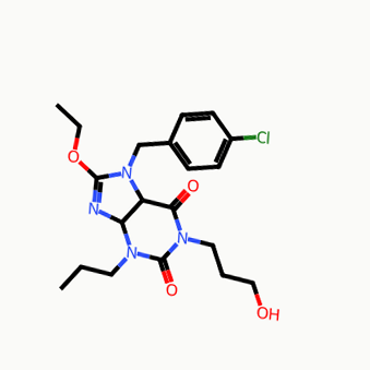 CCCN1C(=O)N(CCCO)C(=O)C2C1N=C(OCC)N2Cc1ccc(Cl)cc1